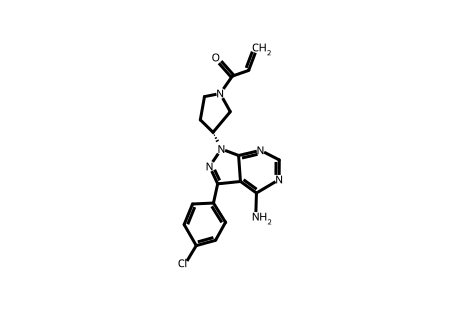 C=CC(=O)N1CC[C@@H](n2nc(-c3ccc(Cl)cc3)c3c(N)ncnc32)C1